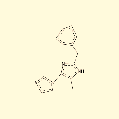 Cc1[nH]c(Cc2ccccc2)nc1-c1ccsc1